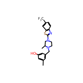 Cc1cc(O)cc(CN2CCN(c3nc4ccc(C(F)(F)F)cc4s3)CC2C)c1